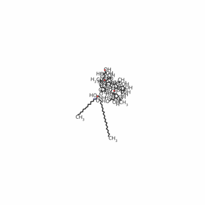 CCCCCCCCCCCCC/C=C/[C@@H](O)[C@H](CO[C@@H]1OC(CO)[C@@H](O[C@@H]2OC(CO)[C@H](O[C@@H]3OC(CO[C@]4(C(=O)O)CC(O)[C@@H](NC(C)=O)C([C@H](O)[C@H](O)CO)O4)[C@H](O)[C@H](O[C@@H]4OC(CO)[C@H](O)[C@H](O)C4O)C3NC(C)=O)[C@H](O[C@]3(C(=O)O)CC(O)[C@@H](NC(C)=O)C([C@H](O)[C@H](O)CO)O3)C2O)[C@H](O)C1O)NC(=O)CCCCCCCCCCCCCCCCCCCCC